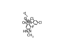 Cc1nc2c(F)c(Nc3ccc(Cl)cc3Cl)c(C(=O)NOCC3CC3)cc2[nH]1